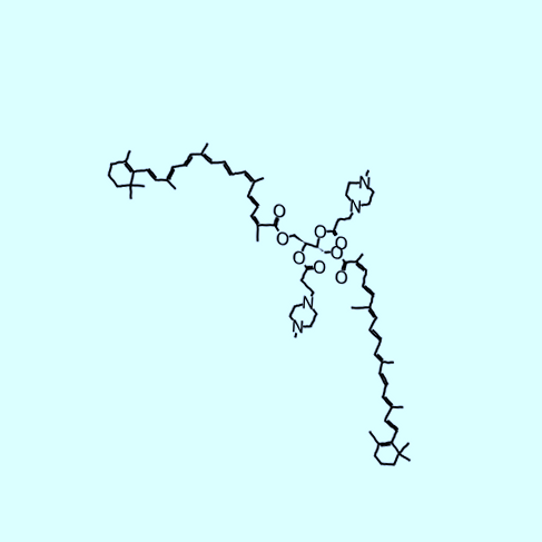 CC(C=CC=C(C)C=CC1=C(C)CCCC1(C)C)=CC=CC=C(C)C=CC=C(C)C(=O)OC[C@H](OC(=O)CCN1CCN(C)CC1)[C@@H](COC(=O)\C(C)=C/C=C/C(C)=C/C=C/C=C(C)/C=C/C=C(C)/C=C/C1=C(C)CCCC1(C)C)OC(=O)CCN1CCN(C)CC1